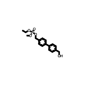 CCOP(=O)(OC)OCc1ccc(-c2ccc(CO)cc2)cc1